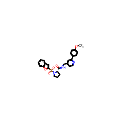 O=C(NCc1ccnc(-c2ccc(OC(F)(F)F)cc2)c1)[C@@H]1CCCN1S(=O)(=O)c1cc2ccccc2o1